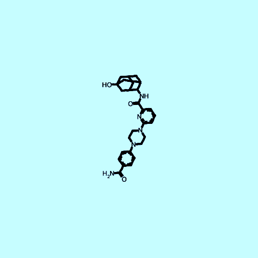 NC(=O)c1ccc(N2CCN(c3cccc(C(=O)NC4C5CC6CC4CC(O)(C6)C5)n3)CC2)cc1